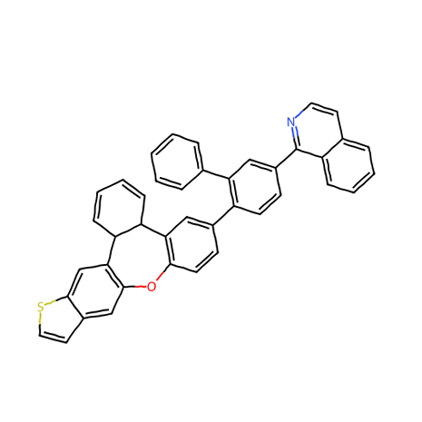 C1=CC2c3cc(-c4ccc(-c5nccc6ccccc56)cc4-c4ccccc4)ccc3Oc3cc4ccsc4cc3C2C=C1